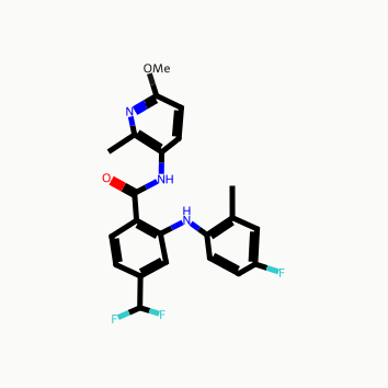 COc1ccc(NC(=O)c2ccc(C(F)F)cc2Nc2ccc(F)cc2C)c(C)n1